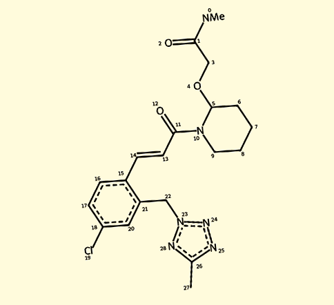 CNC(=O)COC1CCCCN1C(=O)C=Cc1ccc(Cl)cc1Cn1nnc(C)n1